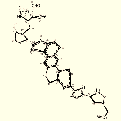 COC[C@@H]1CN[C@H](c2ncc(-c3ccc4c(c3)COc3cc5c(ccc6nc([C@@H]7CC[C@H](C)N7C[C@H](NC(=O)O)[C@H](C=O)OC)[nH]c65)cc3-4)[nH]2)C1